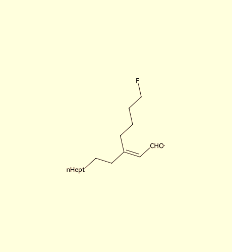 CCCCCCCCCC(=C[C]=O)CCCCF